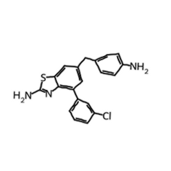 Nc1ccc(Cc2cc(-c3cccc(Cl)c3)c3nc(N)sc3c2)cc1